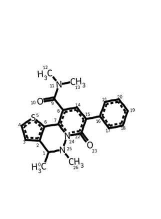 CC1c2ccsc2-c2c(C(=O)N(C)C)cc(-c3ccccc3)c(=O)n2N1C